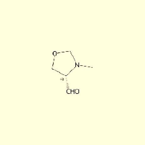 CN1COC[C@H]1C=O